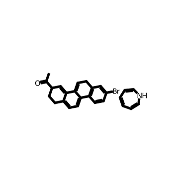 C1=CC=CNC=C1.CC(=O)C1C=c2c(ccc3c2=CCc2cc(Br)ccc2-3)CC1